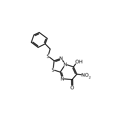 O=c1nc2sc(SCc3ccccc3)nn2c(O)c1[N+](=O)[O-]